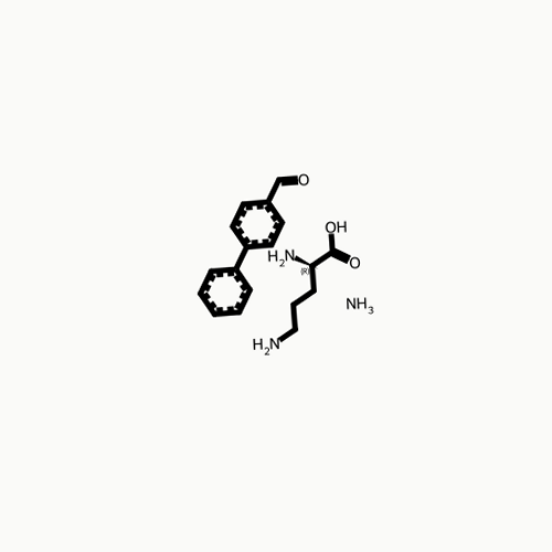 N.NCCC[C@@H](N)C(=O)O.O=Cc1ccc(-c2ccccc2)cc1